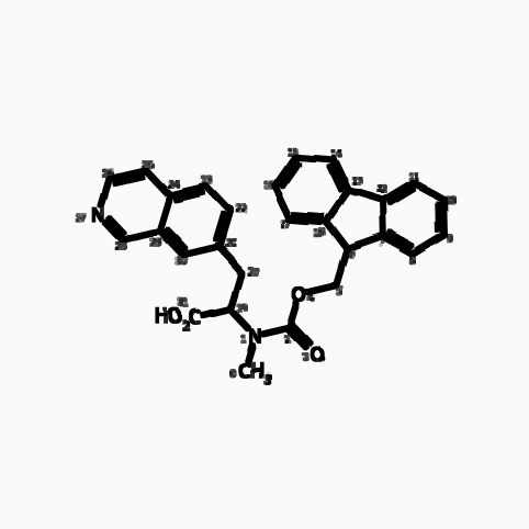 CN(C(=O)OCC1c2ccccc2-c2ccccc21)C(Cc1ccc2ccncc2c1)C(=O)O